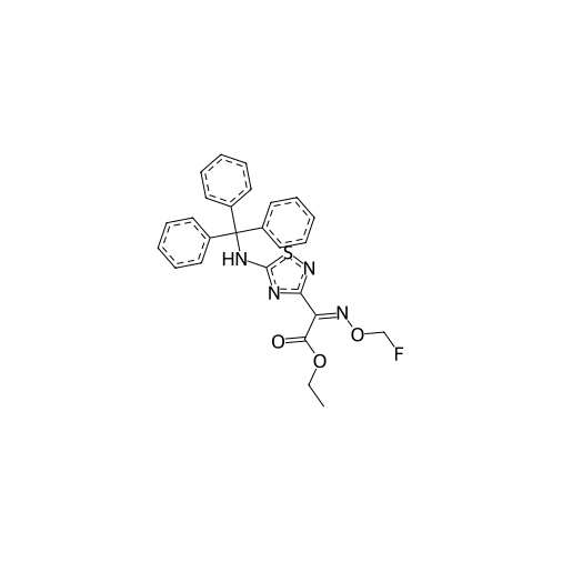 CCOC(=O)/C(=N\OCF)c1nsc(NC(c2ccccc2)(c2ccccc2)c2ccccc2)n1